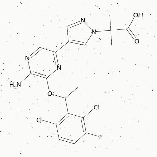 CC(Oc1nc(-c2cnn(C(C)(C)C(=O)O)c2)cnc1N)c1c(Cl)ccc(F)c1Cl